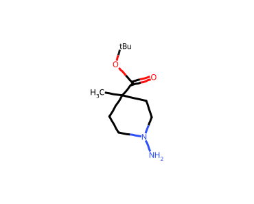 CC(C)(C)OC(=O)C1(C)CCN(N)CC1